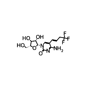 Nc1nc(=O)n([C@@H]2O[C@H](CO)[C@@H](O)[C@@H]2O)cc1C=CCC(F)(F)F